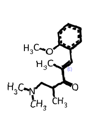 COc1ccccc1/C=C(\C)C(=O)C(C)CN(C)C